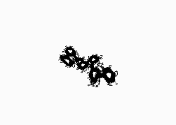 c1ccc2c(c1)sc1c(-n3c4ccccc4c4c5cc6c7ccccc7c7ccccc7n6c5ccc43)cccc12